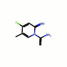 C=C(N)n1cc(C)c(F)cc1=N